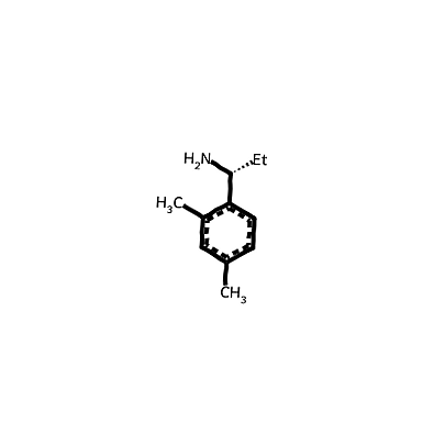 CC[C@@H](N)c1ccc(C)cc1C